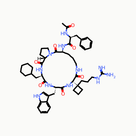 CC(=O)N[C@@H](Cc1ccccc1)C(=O)N[C@H]1CCCNC(=O)[C@H](C2(CCCNC(=N)N)CCC2)NC(=O)[C@H](Cc2c[nH]c3ccccc23)NC(=O)[C@@H](CC2CCCCC2)NC(=O)[C@@H]2CCCN2C1=O